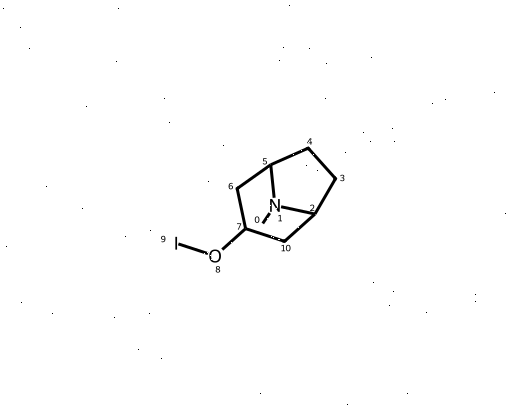 CN1C2CCC1CC(OI)C2